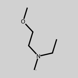 [CH2]N(CC)CCOC